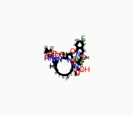 CC[C@@H]1C[C@@H](C)CCC=C[C@@H]2C[C@@]2(C(=O)NS(=O)(=O)C2(C)CC2)NC(=O)[C@@H]2C[C@@H](Oc3nc(OC)cc4cc(F)ccc34)CN2C(=O)[C@H]1N(C(=O)O)C(C)(C)C(C)(F)F